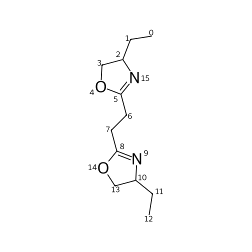 CCC1COC(CCC2=NC(CC)CO2)=N1